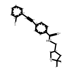 CC1(C)CC(CNC(=O)c2ccc(C#Cc3ccccc3F)cc2)CO1